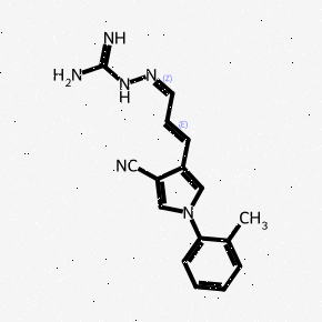 Cc1ccccc1-n1cc(C#N)c(/C=C/C=N\NC(=N)N)c1